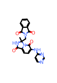 CC1(CN2C(=O)c3ccccc3C2=O)NC(=O)c2ccc(Nc3ccncn3)c(=O)n21